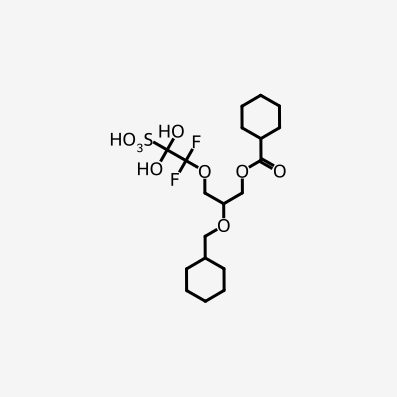 O=C(OCC(COC(F)(F)C(O)(O)S(=O)(=O)O)OCC1CCCCC1)C1CCCCC1